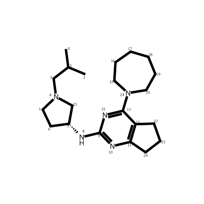 CC(C)CN1CC[C@@H](Nc2nc3c(c(N4CCCCCC4)n2)CCC3)C1